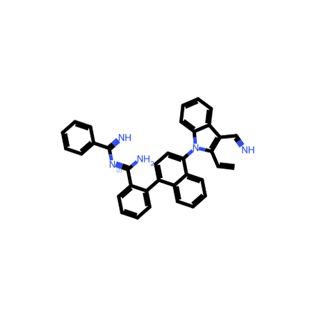 C=Cc1c(C=N)c2ccccc2n1-c1ccc(-c2ccccc2/C(N)=N/C(=N)c2ccccc2)c2ccccc12